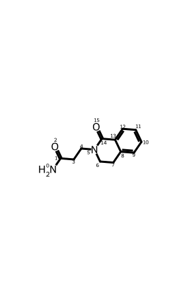 NC(=O)CCN1CCc2ccccc2C1=O